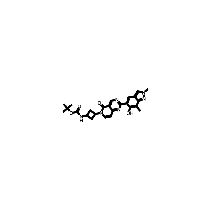 Cc1c(O)c(-c2ncc3c(=O)n(C4CC(NC(=O)OC(C)(C)C)C4)ccc3n2)cc2cn(C)nc12